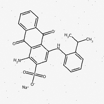 CC(C)c1ccccc1Nc1cc(S(=O)(=O)[O-])c(N)c2c1C(=O)c1ccccc1C2=O.[Na+]